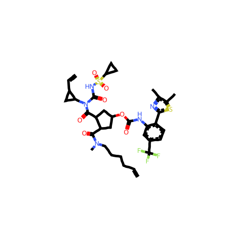 C=CCCCCN(C)C(=O)C1CC(OC(=O)Nc2cc(C(F)(F)F)ccc2-c2nc(C)c(C)s2)CC1C(=O)N(C(=O)NS(=O)(=O)C1CC1)C1CC1C=C